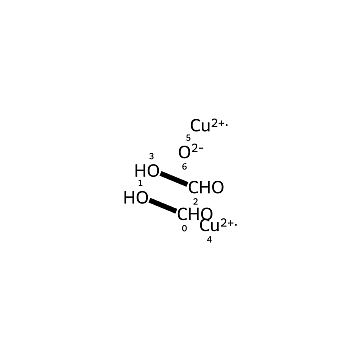 O=[C-]O.O=[C-]O.[Cu+2].[Cu+2].[O-2]